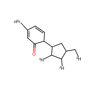 [2H]CC1CC(C2C=CC(CCC)=CC2=O)C([2H])C1[2H]